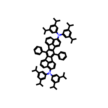 CC(C)c1cc(C(C)C)cc(N(c2cc(C(C)C)cc(C(C)C)c2)c2ccc3c4c(-c5ccccc5)c5c6ccc(N(c7cc(C(C)C)cc(C(C)C)c7)c7cc(C(C)C)cc(C(C)C)c7)c7cccc(c5c(-c5ccccc5)c4c4cccc2c43)c76)c1